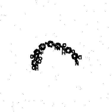 N#Cc1ccc(OC2CCC(NC(=O)c3ccc(N4CCC(CN5CCN(c6ccc7c(c6F)C(=O)N(N6CCC(=O)NC6=O)C7=O)CC5)CC4)nn3)CC2)cc1Cl